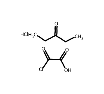 CCC(=O)CC.Cl.O=C(O)C(=O)Cl